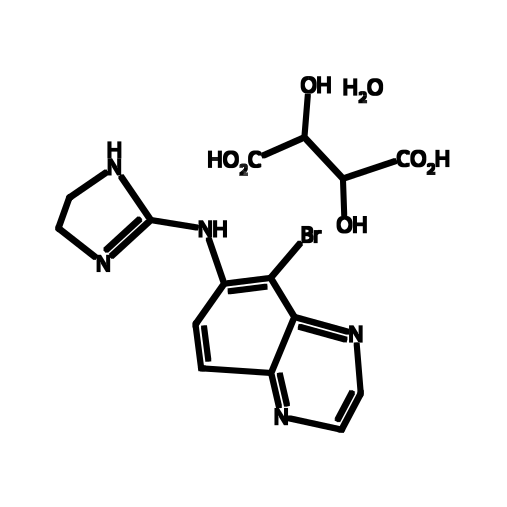 Brc1c(NC2=NCCN2)ccc2nccnc12.O.O=C(O)C(O)C(O)C(=O)O